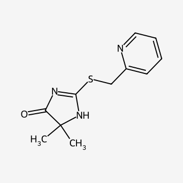 CC1(C)NC(SCc2ccccn2)=NC1=O